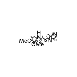 COc1ccc(NC(=O)CSc2nc3ccncc3o2)cc1OC